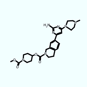 COC(=O)N1CCC(OC(=O)N2CCc3ccc(-c4cc(N5CCN(C)CC5)nc(N)n4)cc3C2)CC1